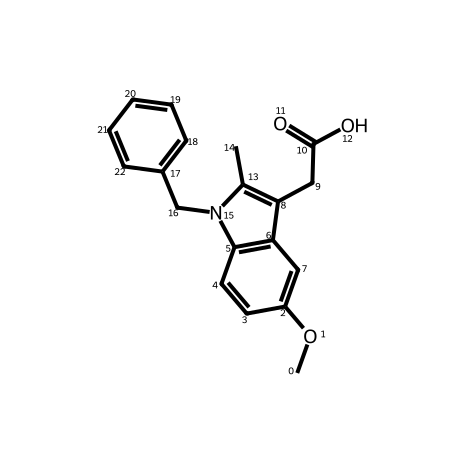 COc1ccc2c(c1)c(CC(=O)O)c(C)n2Cc1ccccc1